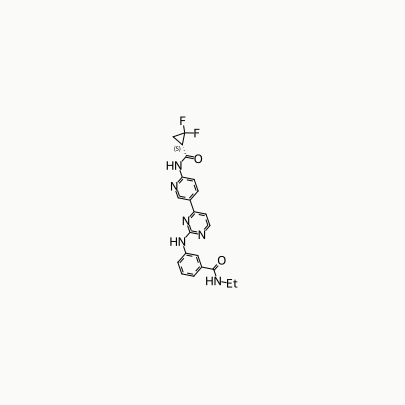 CCNC(=O)c1cccc(Nc2nccc(-c3ccc(NC(=O)[C@@H]4CC4(F)F)nc3)n2)c1